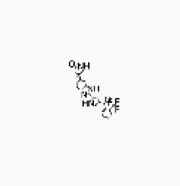 O=C1C[C@H](c2ccc3nc(-c4cc(C(=O)c5ccccc5C(F)(F)F)c[nH]4)[nH]c3c2)CN1